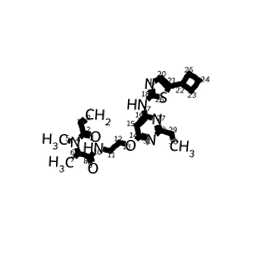 C=CC(=O)N(C)C(C)C(=O)NCCOc1cc(Nc2ncc(C3CCC3)s2)nc(CC)n1